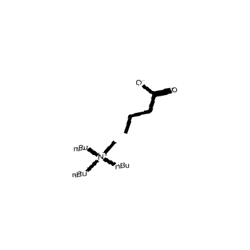 CCCC(=O)[O-].CCCC[N+](C)(CCCC)CCCC